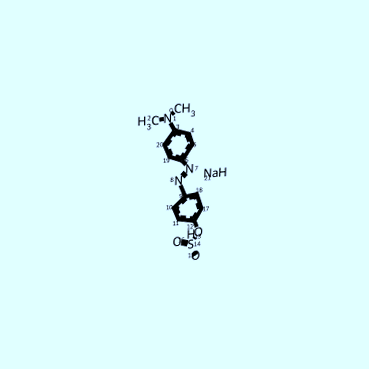 CN(C)c1ccc(N=Nc2ccc(O[SH](=O)=O)cc2)cc1.[NaH]